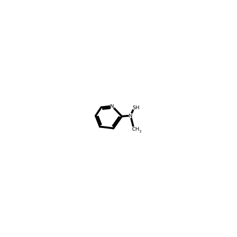 CN(S)c1ccccn1